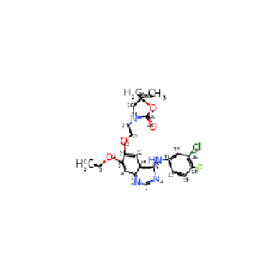 CCOc1cc2ncnc(Nc3ccc(F)c(Cl)c3)c2cc1OCCN1CC(C)(C)OC1=O